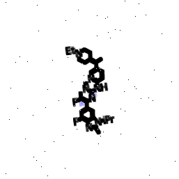 C=N/C(=N\C(=C(/C)F)c1cc(F)c2nc(C)n(C(C)C)c2c1)Nc1ccc(C(C)=C2CCN(CC)CC2)cn1